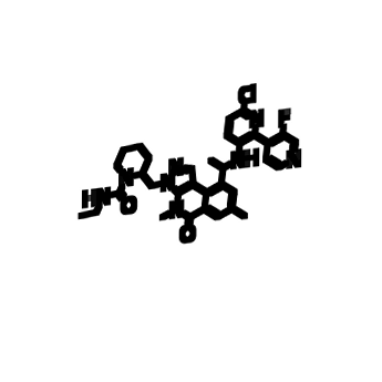 CCNC(=O)N1CCCCC1Cn1ncc2c3c(C(C)Nc4ccc(Cl)nc4-c4ccncc4F)cc(C)cc3c(=O)n(C)c21